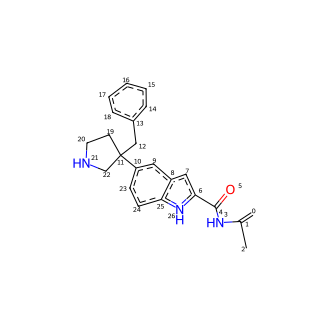 C=C(C)NC(=O)c1cc2cc(C3(Cc4ccccc4)CCNC3)ccc2[nH]1